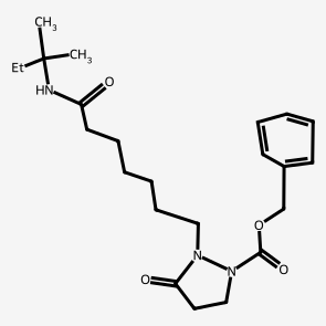 CCC(C)(C)NC(=O)CCCCCCN1C(=O)CCN1C(=O)OCc1ccccc1